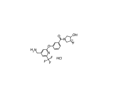 Cl.NCc1cc(Oc2cccc(C(=O)N3CC(O)[C@@H](F)C3)c2)nc(C(F)(F)F)c1